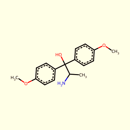 COc1ccc(C(O)(c2ccc(OC)cc2)C(C)N)cc1